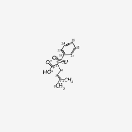 CC(C)=CCC(C(=O)O)S(=O)(=O)c1ccccc1